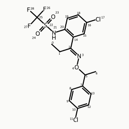 CC/C(=N\OC(C)c1ccc(Cl)cc1)c1cc(Cl)ccc1NS(=O)(=O)C(F)(F)F